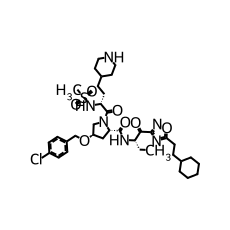 CC[C@H](NC(=O)[C@@H]1C[C@@H](OCc2ccc(Cl)cc2)CN1C(=O)[C@@H](CCC1CCNCC1)NS(C)(=O)=O)C(=O)c1noc(CCC2CCCCC2)n1